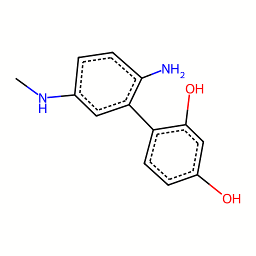 CNc1ccc(N)c(-c2ccc(O)cc2O)c1